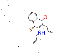 C=CCNC1=C(CC=C)C(=O)c2ccccc2C1=S